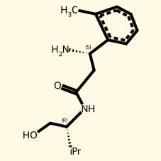 Cc1ccccc1[C@@H](N)CC(=O)N[C@@H](CO)C(C)C